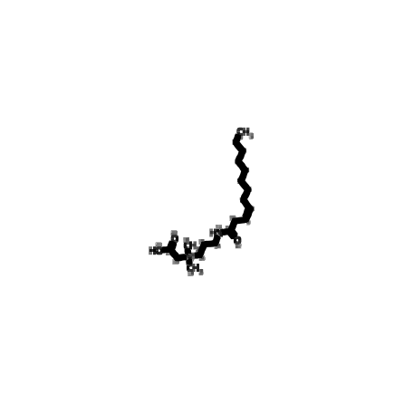 CCCCCCCC/C=C\CC(=O)NCCC[N+](C)(C)CC(=O)O